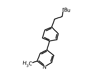 Cc1cc(-c2ccc(CCC(C)(C)C)cc2)ccn1